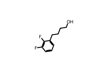 OCCCCc1cccc(F)c1F